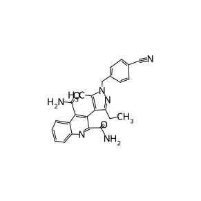 CCc1nn(Cc2ccc(C#N)cc2)c(C)c1-c1c(C(N)=O)nc2ccccc2c1C(N)=O